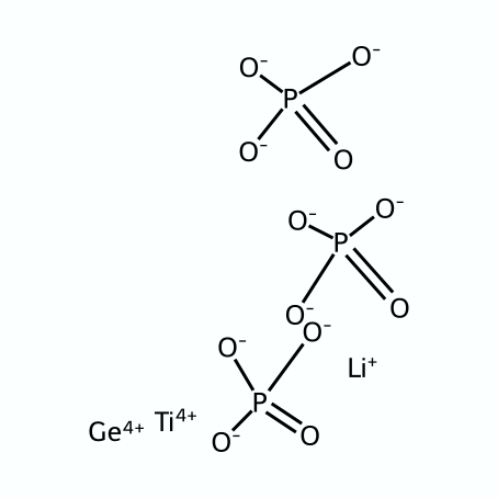 O=P([O-])([O-])[O-].O=P([O-])([O-])[O-].O=P([O-])([O-])[O-].[Ge+4].[Li+].[Ti+4]